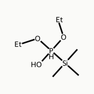 CCO[PH](O)(OCC)[Si](C)(C)C